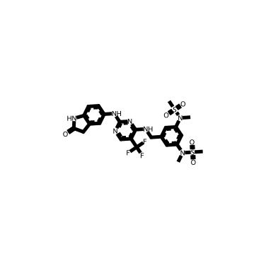 CN(c1cc(CNc2nc(Nc3ccc4c(c3)CC(=O)N4)ncc2C(F)(F)F)cc(N(C)S(C)(=O)=O)c1)S(C)(=O)=O